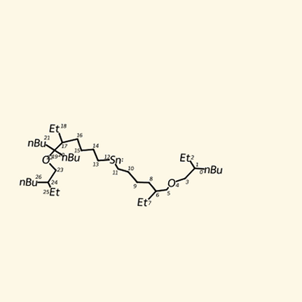 CCCCC(CC)COCC(CC)CCC[CH2][Sn][CH2]CCCC(CC)C(CCCC)(CCCC)OCC(CC)CCCC